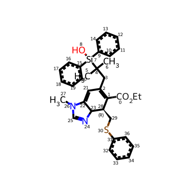 CCOC(=O)C1=C(CC(C)(C)[Si](O)(c2ccccc2)c2ccccc2)C=C2C(N=CN2C)[C@@H]1CSc1ccccc1